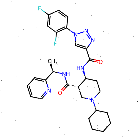 C[C@@H](NC(=O)[C@H]1CN(C2CCCCC2)CC[C@@H]1NC(=O)c1cn(-c2ccc(F)cc2F)nn1)c1ccccn1